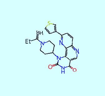 B=C(CC)N1CCC(n2c(=O)[nH]c(=O)c3cnc4ccc(-c5ccsc5)nc4c32)CC1